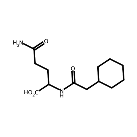 NC(=O)CCC(NC(=O)CC1CCCCC1)C(=O)O